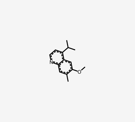 COc1cc2c(C(C)C)ccnc2cc1C